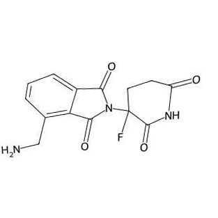 NCc1cccc2c1C(=O)N(C1(F)CCC(=O)NC1=O)C2=O